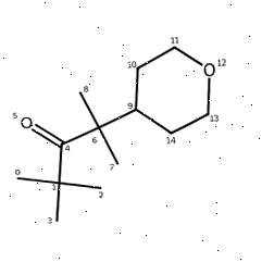 CC(C)(C)C(=O)C(C)(C)C1CCOCC1